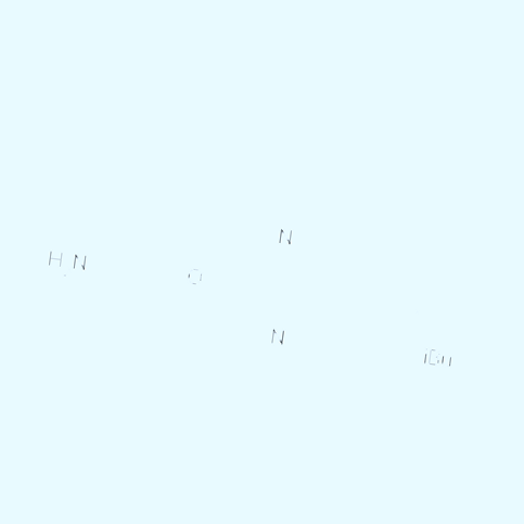 C=N/C=C(\C=N/COC/C(N)=C/C)C(C)(C)C(C)CC